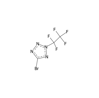 FC(F)(F)C(F)(F)n1nnc(Br)n1